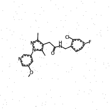 COc1cncc(-n2nc(C)c(CC(=O)NCc3ccc(F)cc3Cl)c2C)c1